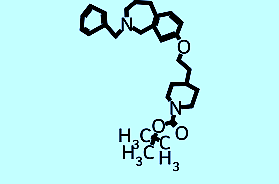 CC(C)(C)OC(=O)N1CCC(CCOc2ccc3c(c2)CN(Cc2ccccc2)CCC3)CC1